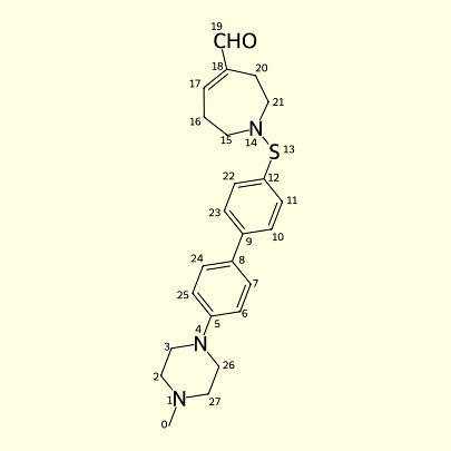 CN1CCN(c2ccc(-c3ccc(SN4CCC=C(C=O)CC4)cc3)cc2)CC1